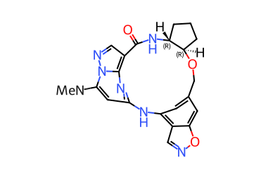 CNc1cc2nc3c(cnn13)C(=O)N[C@@H]1CCC[C@H]1OCc1cc(c3cnoc3c1)N2